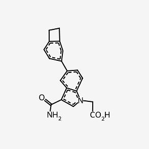 NC(=O)c1cn(CC(=O)O)c2ccc(-c3ccc4c(c3)CC4)cc12